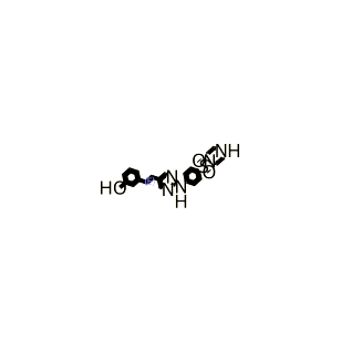 O=S(=O)(c1ccc(Nc2ncc(/C=C/c3cccc(O)c3)cn2)cc1)N1CCNCC1